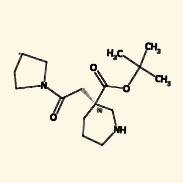 CC(C)(C)OC(=O)[C@]1(CC(=O)N2C[CH]CC2)CCCNC1